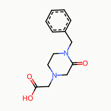 O=C(O)CN1CCN(Cc2ccccc2)C(=O)C1